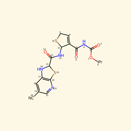 CC(C)OC(=O)NC(=O)C1=CCSC1NC(=O)C1Nc2cc(C#N)cnc2S1